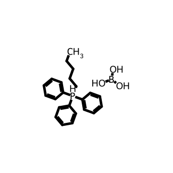 CCCCC[PH](c1ccccc1)(c1ccccc1)c1ccccc1.OB(O)O